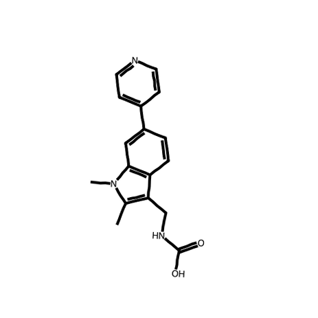 Cc1c(CNC(=O)O)c2ccc(-c3ccncc3)cc2n1C